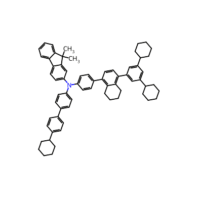 CC1(C)c2ccccc2-c2ccc(N(c3ccc(-c4ccc(C5CCCCC5)cc4)cc3)c3ccc(-c4ccc(-c5cc(C6CCCCC6)cc(C6CCCCC6)c5)c5c4CCCC5)cc3)cc21